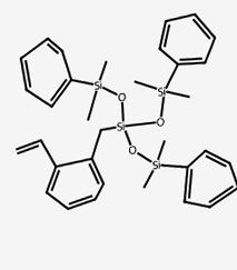 C=Cc1ccccc1C[Si](O[Si](C)(C)c1ccccc1)(O[Si](C)(C)c1ccccc1)O[Si](C)(C)c1ccccc1